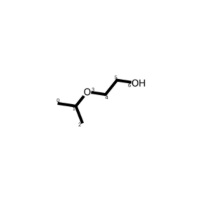 C[C](C)OCCO